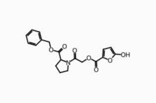 O=C(OCC(=O)N1CCCC1C(=O)OCc1ccccc1)c1ccc(O)o1